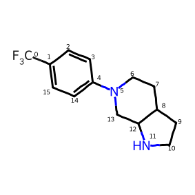 FC(F)(F)c1ccc(N2CCC3CCNC3C2)cc1